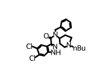 CCCCN1CCC(N(Cc2ccccc2)C(=O)c2n[nH]c3cc(Cl)c(Cl)cc23)CC1